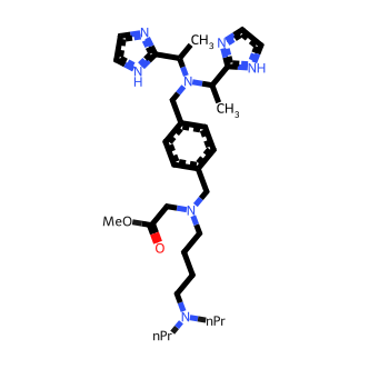 CCCN(CCC)CCCCN(CC(=O)OC)Cc1ccc(CN(C(C)c2ncc[nH]2)C(C)c2ncc[nH]2)cc1